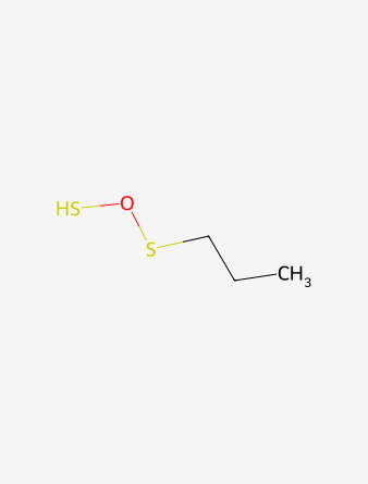 CCCSOS